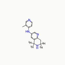 [2H]C1([2H])Cc2ncc(Nc3ccncc3C)cc2C([2H])([2H])N1